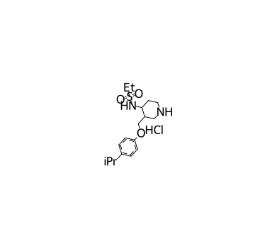 CCS(=O)(=O)NC1CCNCC1COc1ccc(C(C)C)cc1.Cl